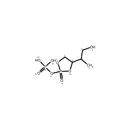 CC(CO)C1COP(=O)(OP(=O)(O)O)O1